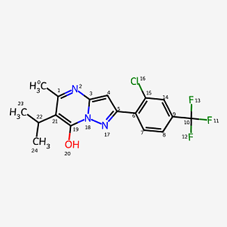 Cc1nc2cc(-c3ccc(C(F)(F)F)cc3Cl)nn2c(O)c1C(C)C